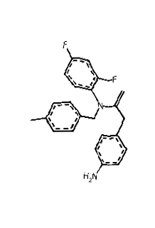 C=C(Cc1ccc(N)cc1)N(Cc1ccc(C)cc1)c1ccc(F)cc1F